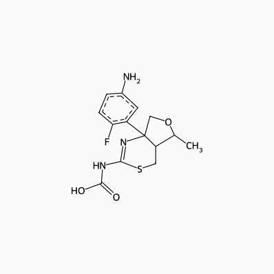 CC1OCC2(c3cc(N)ccc3F)N=C(NC(=O)O)SCC12